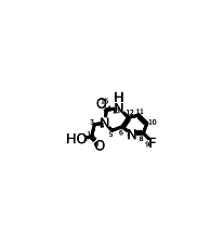 O=C(O)CN1Cc2nc(F)ccc2NC1=O